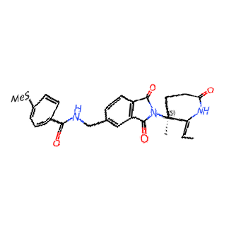 CC=C1NC(=O)CC[C@]1(C)N1C(=O)c2ccc(CNC(=O)c3ccc(SC)cc3)cc2C1=O